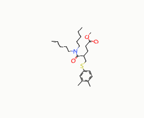 CCCCCN(CCCCC)C(=O)C(CCC(=O)OC)CSc1ccc(C)c(C)c1